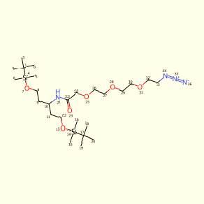 CC(C)(C)[Si](C)(C)OCCC(CCO[Si](C)(C)C(C)(C)C)NC(=O)COCCOCCOCCN=[N+]=[N-]